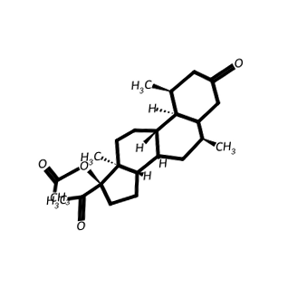 CC(=O)O[C@]1(C(C)=O)CC[C@H]2[C@@H]3C[C@H](C)C4CC(=O)C[C@H](C)[C@@H]4[C@H]3CC[C@@]21C